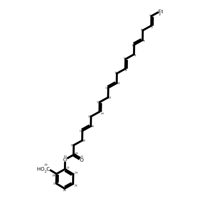 CC/C=C/C/C=C/C/C=C/C/C=C/C/C=C/C/C=C/CCC(=O)Oc1ccccc1C(=O)O